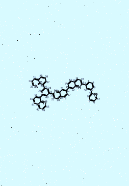 c1ccc(-c2cccc(-c3ccc4ccc(-c5ccc6ccc(-c7cc(-c8cccc9cccnc89)cc(-c8cccc9cccnc89)c7)nc6c5)cc4n3)c2)nc1